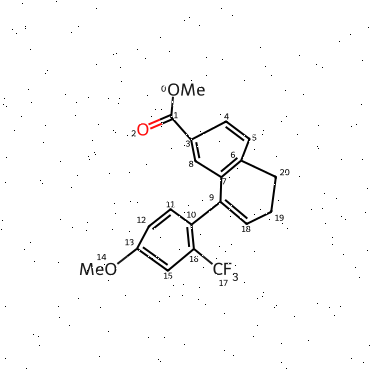 COC(=O)c1ccc2c(c1)C(c1ccc(OC)cc1C(F)(F)F)=CCC2